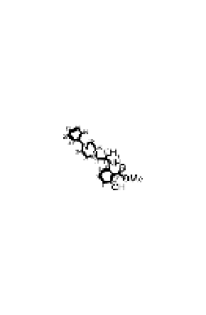 COC(=O)c1c(O)cccc1NC(C)CN1CCN(c2ccccc2)CC1